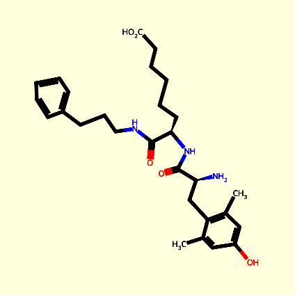 Cc1cc(O)cc(C)c1C[C@H](N)C(=O)N[C@H](CCCCCC(=O)O)C(=O)NCCCc1ccccc1